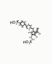 C=C(/C=C\C(C)=C\c1c(C)c(CCC(=O)O)c(C)n1B(C)F)c1ccc(C(=O)O)cc1